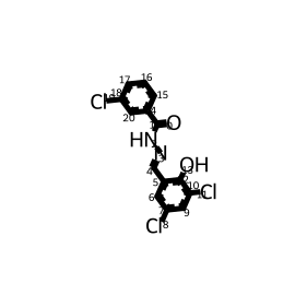 O=C(N/N=C/c1cc(Cl)cc(Cl)c1O)c1cccc(Cl)c1